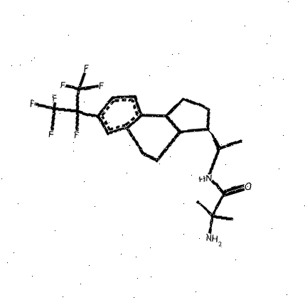 CC(NC(=O)C(C)(C)N)[C@@H]1CCC2c3ccc(C(F)(C(F)(F)F)C(F)(F)F)cc3CCC21